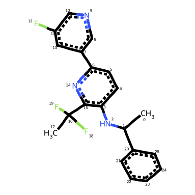 CC(Nc1ccc(-c2cncc(F)c2)nc1C(C)(F)F)c1ccccc1